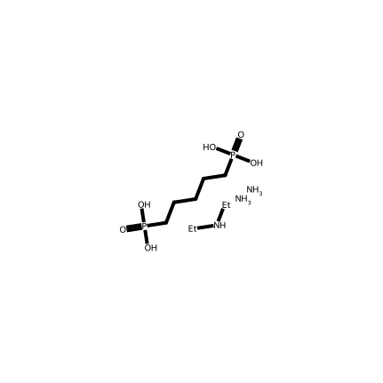 CCNCC.N.N.O=P(O)(O)CCCCCP(=O)(O)O